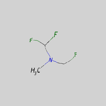 CN(CF)C(F)F